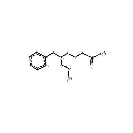 CC(=O)CCCN(CCO)Cc1ccccc1